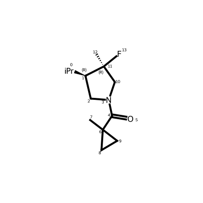 CC(C)[C@@H]1CN(C(=O)C2(C)CC2)C[C@]1(C)F